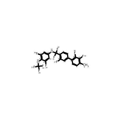 Cc1ccc(-c2ccc(C(F)(F)Oc3cc(F)c(OC(F)(F)F)c(F)c3)c(F)c2)c(F)c1F